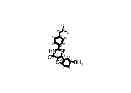 Bc1ccc2oc3c(=O)[nH]c(-c4ccc(CN(C)C)cc4)nc3c2c1